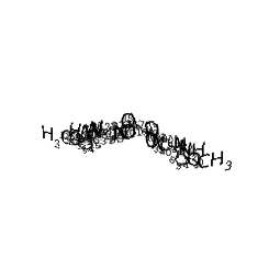 CCOc1cccc2c(C3CCN(OC(=O)CCC(=O)ON4CCC(c5n[nH]c6c(OCC)cccc56)CC4)CC3)n[nH]c12